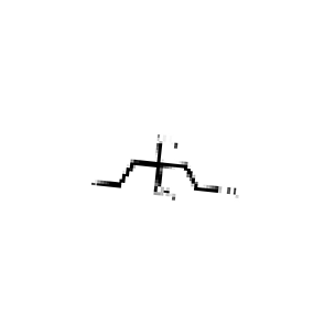 CCCC(C)(C)CCF